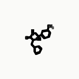 Cc1cccc(C2CNC(=O)C(Cc3ccccc3)N2)c1